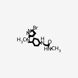 CNC(=O)CNC1CCC(CN(C)c2ccc(Br)nn2)CC1